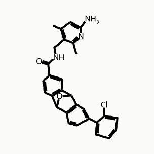 Cc1cc(N)nc(C)c1CNC(=O)c1ccc2c(c1)C1OC2c2ccc(-c3ccccc3Cl)cc21